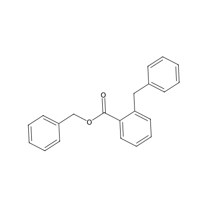 O=C(OCc1ccccc1)c1ccccc1Cc1ccccc1